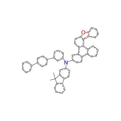 CC1(C)c2ccccc2-c2ccc(N(c3cccc(-c4ccc(-c5ccccc5)cc4)c3)c3ccc4c5ccccc5c5c(ccc6oc7ccccc7c65)c4c3)cc21